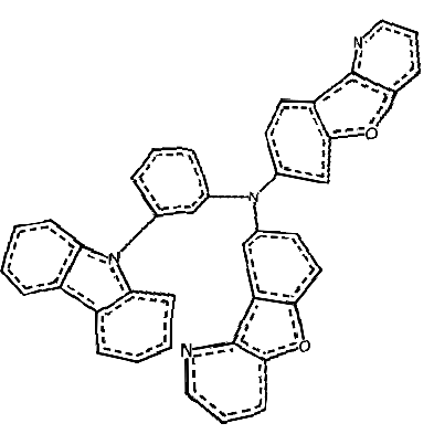 c1cc(N(c2ccc3c(c2)oc2cccnc23)c2ccc3oc4cccnc4c3c2)cc(-n2c3ccccc3c3ccccc32)c1